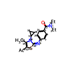 CCN(CC)C(=O)c1ccc(/N=c2/sc(C(C)=O)c(C)n2C2CC2)cc1